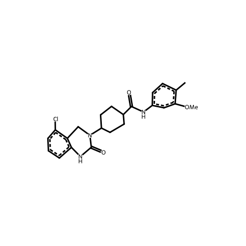 COc1cc(NC(=O)C2CCC(N3Cc4c(Cl)cccc4NC3=O)CC2)ccc1C